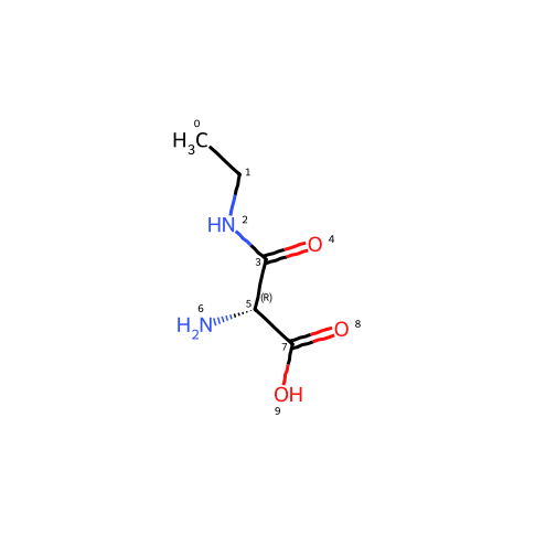 CCNC(=O)[C@@H](N)C(=O)O